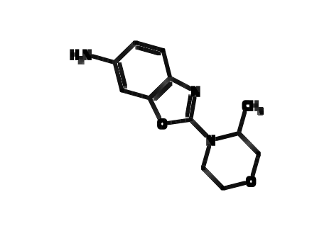 CC1COCCN1c1nc2ccc(N)cc2o1